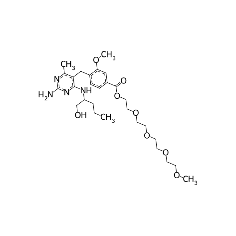 CCCC(CO)Nc1nc(N)nc(C)c1Cc1ccc(C(=O)OCCOCCOCCOCCOC)cc1OC